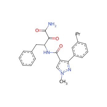 CC(C)c1cccc(-c2nn(C)cc2C(=O)NC(Cc2ccccc2)C(=O)C(N)=O)c1